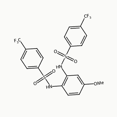 COc1ccc(NS(=O)(=O)c2ccc(C(F)(F)F)cc2)c(NS(=O)(=O)c2ccc(C(F)(F)F)cc2)c1